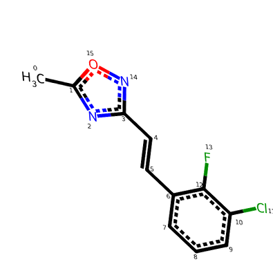 Cc1nc(C=Cc2cccc(Cl)c2F)no1